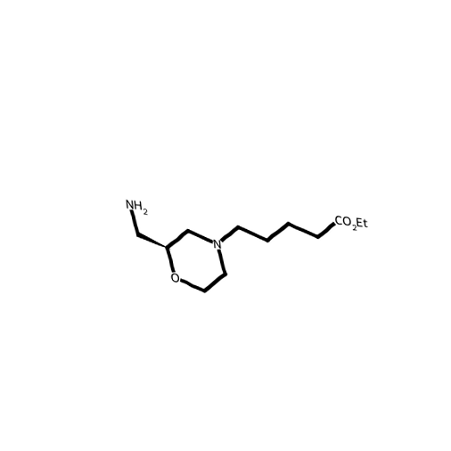 CCOC(=O)CCCCN1CCO[C@@H](CN)C1